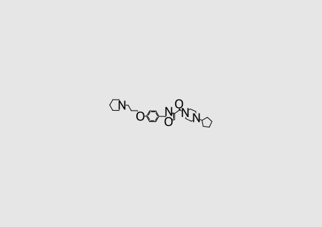 O=C(c1coc(-c2ccc(OCCCN3CCCCC3)cc2)n1)N1CCN(C2CCCC2)CC1